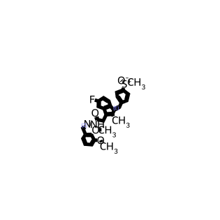 COc1cccc(/C=N\NC(=O)CC2=C(C)/C(=C/c3ccc([S+](C)[O-])cc3)c3ccc(F)cc32)c1OC